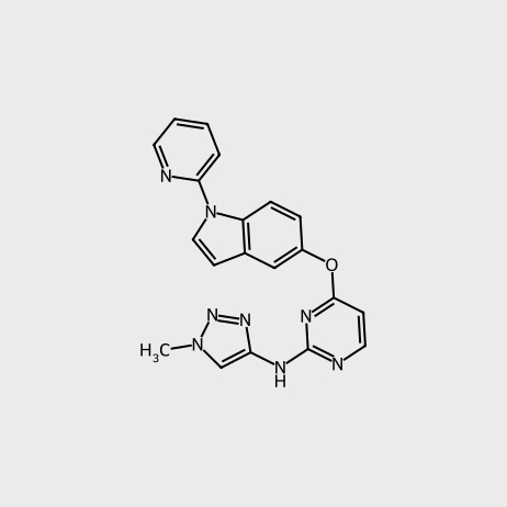 Cn1cc(Nc2nccc(Oc3ccc4c(ccn4-c4ccccn4)c3)n2)nn1